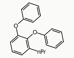 CCCc1cccc(Oc2ccccc2)c1Oc1ccccc1